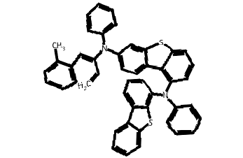 C=C/C(=C\c1ccccc1C)N(c1ccccc1)c1ccc2c(c1)sc1cccc(N(c3ccccc3)c3cccc4c3sc3ccccc34)c12